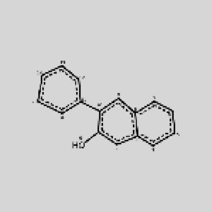 Oc1[c]c2ccccc2cc1-c1ccccc1